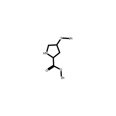 CC(C)OC(=O)C1CC(SC(C)C)CN1